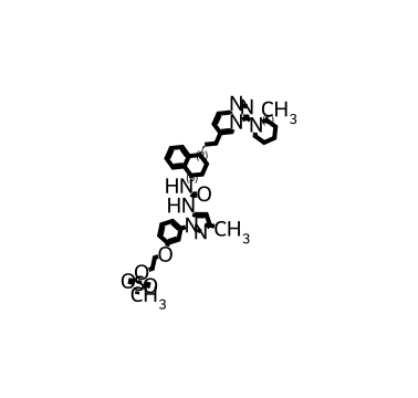 Cc1cc(NC(=O)N[C@H]2CC[C@@H](CCc3ccc4nnc(N5CCCC[C@@H]5C)n4c3)c3ccccc32)n(-c2cccc(OCCOS(C)(=O)=O)c2)n1